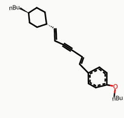 CCCCOc1ccc(/C=C/C#C/C=C/[C@H]2CC[C@H](CCCC)CC2)cc1